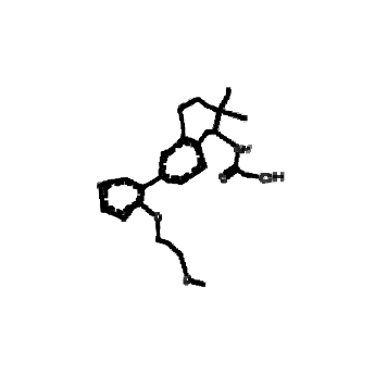 COCCOc1ccccc1-c1ccc2c(c1)CCC(C)(C)C2NC(=O)O